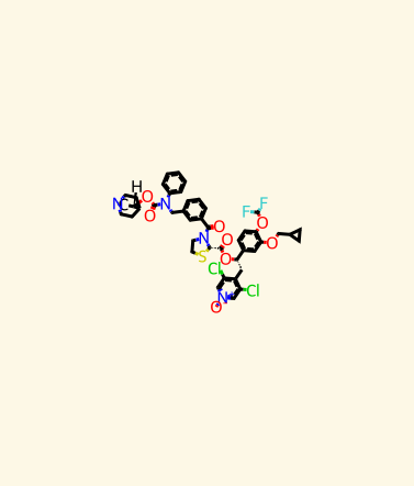 O=C(O[C@@H](Cc1c(Cl)c[n+]([O-])cc1Cl)c1ccc(OC(F)F)c(OCC2CC2)c1)[C@@H]1SCCN1C(=O)c1cccc(CN(C(=O)O[C@H]2CN3CCC2CC3)c2ccccc2)c1